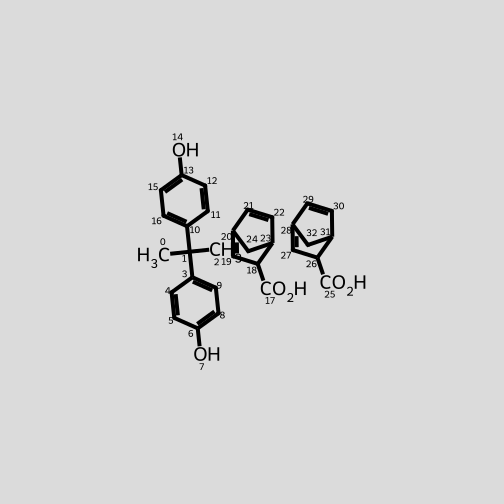 CC(C)(c1ccc(O)cc1)c1ccc(O)cc1.O=C(O)C1C=C2C=CC1C2.O=C(O)C1C=C2C=CC1C2